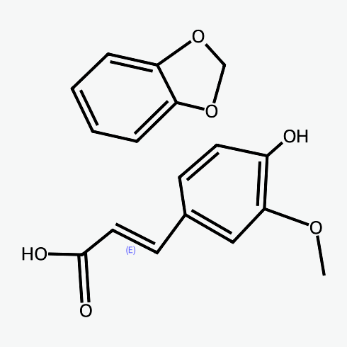 COc1cc(/C=C/C(=O)O)ccc1O.c1ccc2c(c1)OCO2